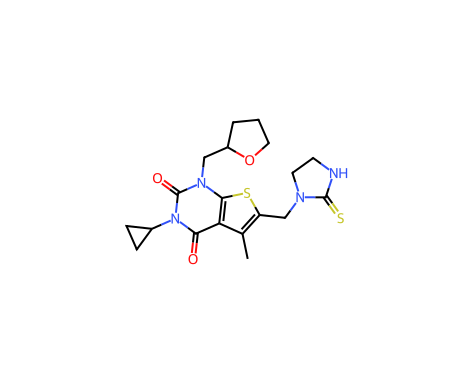 Cc1c(CN2CCNC2=S)sc2c1c(=O)n(C1CC1)c(=O)n2CC1CCCO1